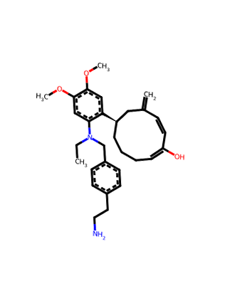 C=C1/C=C\C(O)=C/CCC[C@@H](c2cc(OC)c(OC)cc2N(CC)Cc2ccc(CCN)cc2)C1